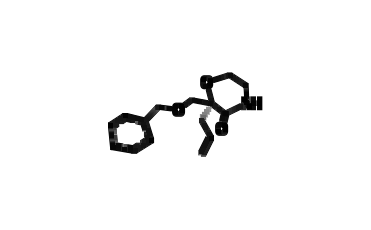 C=CC[C@]1(COCc2ccccc2)OCCNC1=O